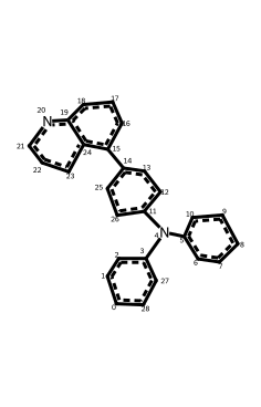 c1ccc(N(c2ccccc2)c2ccc(-c3cccc4ncccc34)cc2)cc1